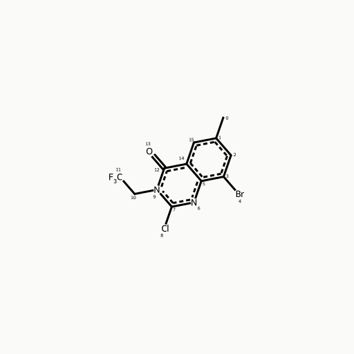 Cc1cc(Br)c2nc(Cl)n(CC(F)(F)F)c(=O)c2c1